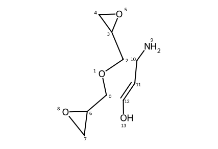 C(OCC1CO1)C1CO1.NCC=CO